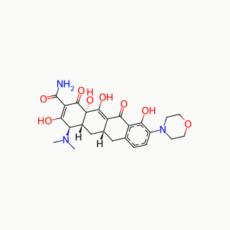 CN(C)[C@H]1C(O)=C(C(N)=O)C(=O)[C@@]2(O)C(O)=C3C(=O)c4c(ccc(N5CCOCC5)c4O)C[C@@H]3C[C@H]12